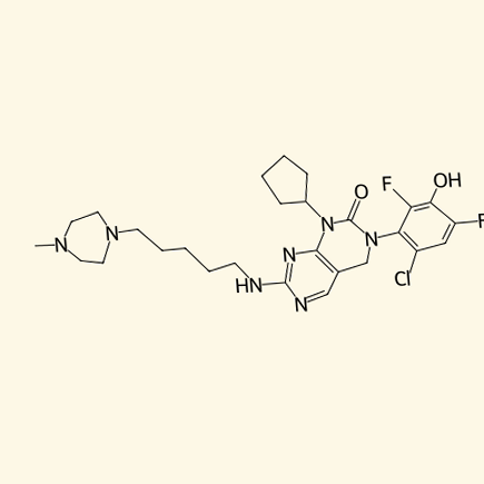 CN1CCN(CCCCCNc2ncc3c(n2)N(C2CCCC2)C(=O)N(c2c(Cl)cc(F)c(O)c2F)C3)CC1